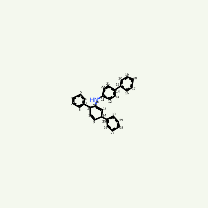 C1=CC(c2ccccc2)C(Nc2ccc(-c3ccccc3)cc2)=C[C]1c1ccccc1